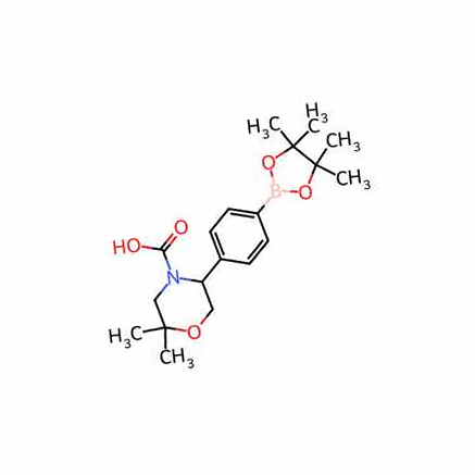 CC1(C)CN(C(=O)O)C(c2ccc(B3OC(C)(C)C(C)(C)O3)cc2)CO1